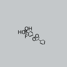 OB(O)c1ccc([C@H]2OC[C@H](C3C=CC=CC3)CO2)cc1F